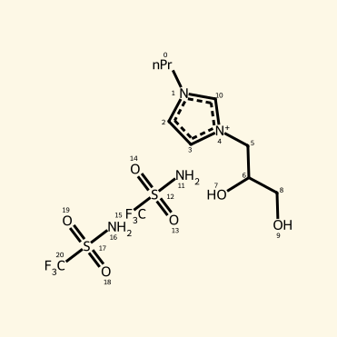 CCCn1cc[n+](CC(O)CO)c1.NS(=O)(=O)C(F)(F)F.NS(=O)(=O)C(F)(F)F